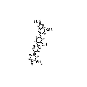 Cc1cn2nc(-c3ccc(-c4cnc(N5CCN[C@H](C)C5)nn4)c(O)c3)cc(C)c2n1